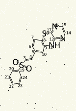 O=S(=O)(C=Cc1ccc2c(c1)Nc1nccnc1S2)c1ccccc1